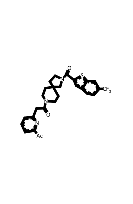 CC(=O)c1cccc(CC(=O)N2CCC3(CC2)CCN(C(=O)c2cc4ccc(C(F)(F)F)cc4s2)C3)n1